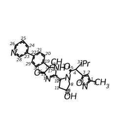 Cc1cc(C(C(=O)N2C[C@H](O)C[C@H]2C2=NC(=O)[C@](C)(c3ccc(-c4cccnc4)cc3)N2)C(C)C)on1